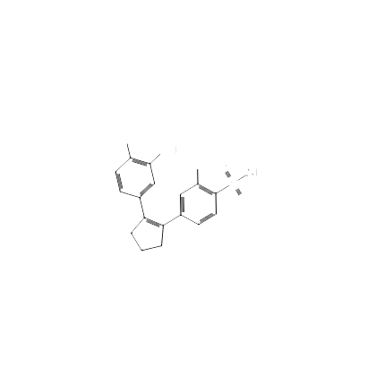 Cc1cc(C2=C(c3ccc(S(N)(=O)=O)c(F)c3)CCC2)ccc1Br